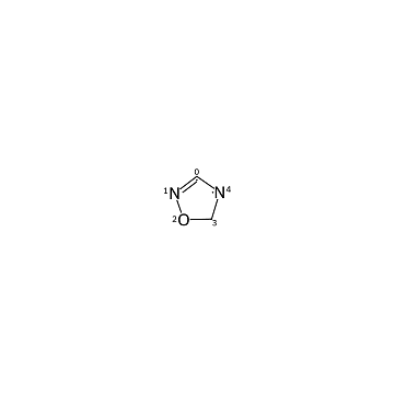 [C]1=NOC[N]1